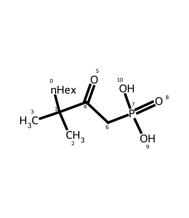 CCCCCCC(C)(C)C(=O)CP(=O)(O)O